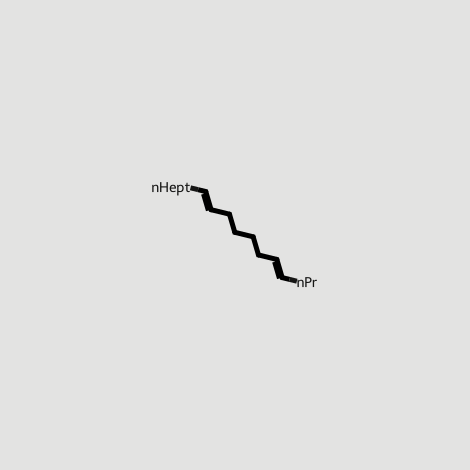 [CH2]CCCCCCC=CCCCCC=CCCC